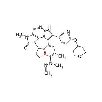 C=NN(C)c1ccc(-c2c(-c3ccc(OC4CCOCC4)nc3)[nH]c3ncc4c(c23)n(C2CCCC2)c(=O)n4C)cc1C